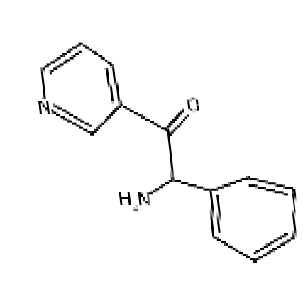 NC(C(=O)c1cccnc1)c1ccccc1